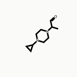 CC(C=O)N1CCN(C2CC2)CC1